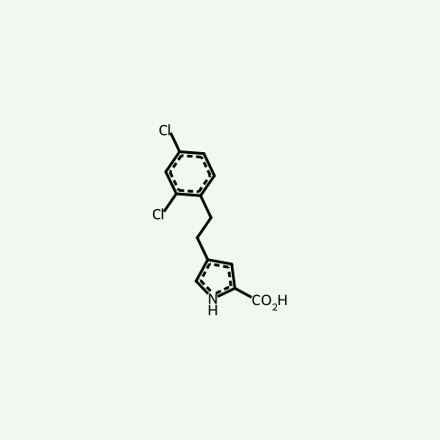 O=C(O)c1cc(CCc2ccc(Cl)cc2Cl)c[nH]1